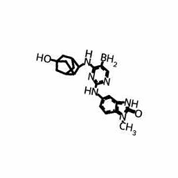 Bc1cnc(Nc2ccc3c(c2)[nH]c(=O)n3C)nc1NC1C2CC3CC(O)(C2)CC31